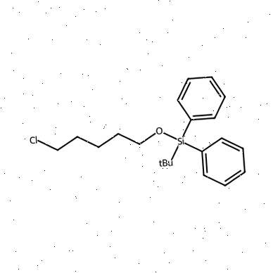 CC(C)(C)[Si](OCCCCCCl)(c1ccccc1)c1ccccc1